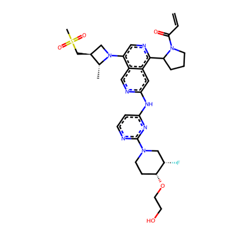 C=CC(=O)N1CCCC1c1ncc(N2C[C@H](CS(C)(=O)=O)[C@H]2C)c2cnc(Nc3ccnc(N4CC[C@@H](OCCO)[C@@H](F)C4)n3)cc12